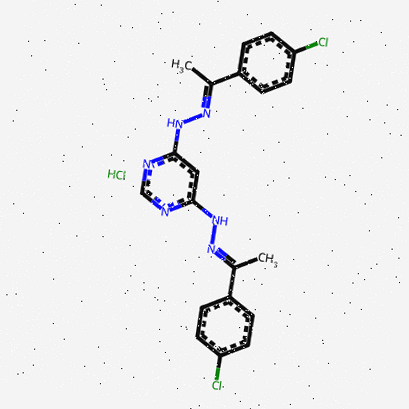 C/C(=N\Nc1cc(N/N=C(\C)c2ccc(Cl)cc2)ncn1)c1ccc(Cl)cc1.Cl